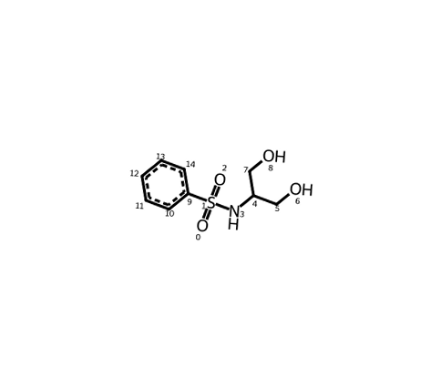 O=S(=O)(NC(CO)CO)c1ccccc1